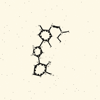 CCN(C)/C=N\c1cc(C)c(-c2cc(-c3cccc(F)c3Br)no2)cc1C